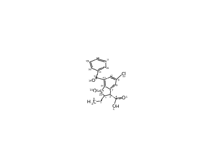 CCC1C(C(=O)O)c2cc(Cl)cc(C(=O)c3ccccc3)c2[S+]1[O-]